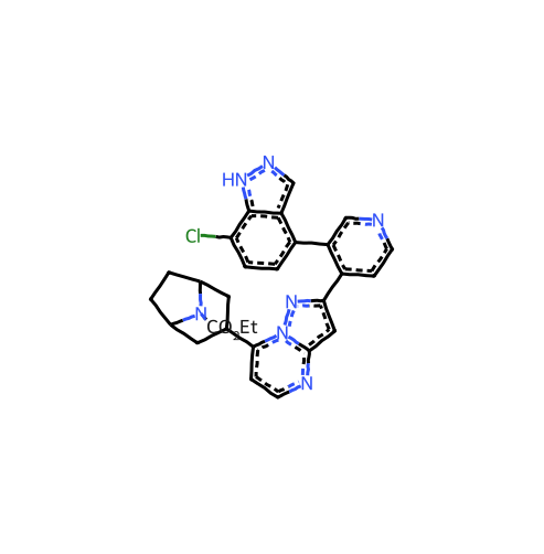 CCOC(=O)N1C2CCC1CC(c1ccnc3cc(-c4ccncc4-c4ccc(Cl)c5[nH]ncc45)nn13)C2